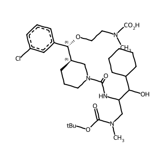 CN(CCO[C@@H](c1cccc(Cl)c1)[C@@H]1CCCN(C(=O)NC(CN(C)C(=O)OC(C)(C)C)C(O)C2CCCCC2)C1)C(=O)O